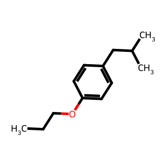 CCCOc1ccc(CC(C)C)cc1